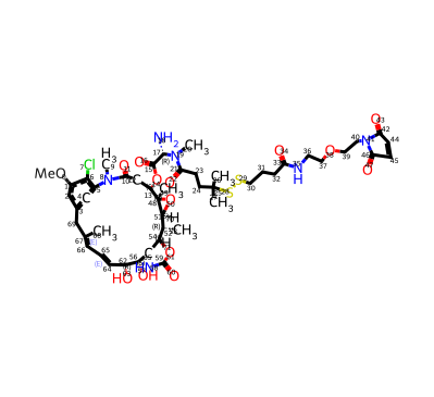 COc1cc2cc(c1Cl)N(C)C(=O)C[C@H](OC(=O)[C@H](N)N(C)C(=O)CCC(C)(C)SSCCCC(=O)NCCOCCN1C(=O)C=CC1=O)[C@]1(C)O[C@H]1[C@H](C)[C@@H]1C[C@@](O)(NC(=O)O1)[C@H](O)/C=C/C=C(\C)C2